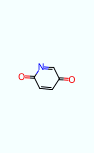 O=C1C=CC(=O)N=C1